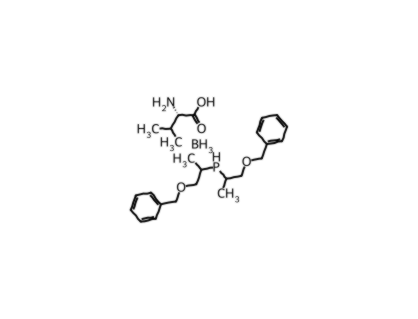 B.CC(C)[C@H](N)C(=O)O.CC(COCc1ccccc1)PC(C)COCc1ccccc1